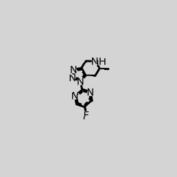 CC1Cc2c(nnn2-c2ncc(F)cn2)CN1